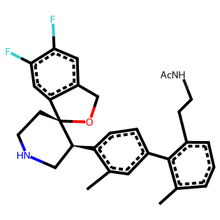 CC(=O)NCCc1cccc(C)c1-c1ccc([C@H]2CNCC[C@@]23OCc2cc(F)c(F)cc23)c(C)c1